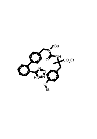 CCCCN(Cc1ccc(-c2ccccc2-c2nnn[nH]2)cc1)C(=O)NC(C)(Cc1ccc(OCC)cc1)C(=O)OCC